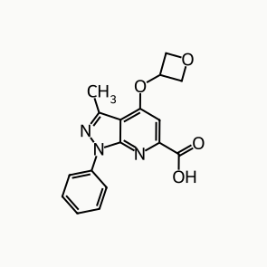 Cc1nn(-c2ccccc2)c2nc(C(=O)O)cc(OC3COC3)c12